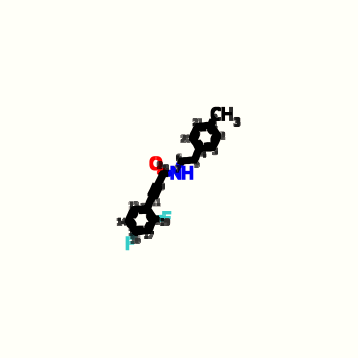 Cc1ccc(CCNC(=O)C#Cc2ccc(F)cc2F)cc1